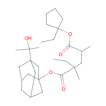 CCC1(OC(=O)C(C)CC(C)(CC)C(=O)OC23CC4CC(C2)CC(C(C)(C)O)(C4)C3)CCCC1